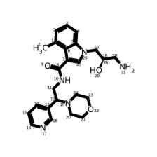 Cc1cccc2c1c(C(=O)NCC(c1cccnc1)N1CCOCC1)cn2C[C@H](O)CN